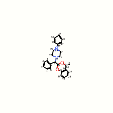 C[C@H](OC(=O)C(c1ccccc1)N1CCN(c2ccccc2)CC1)c1ccccc1